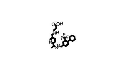 CC(=NOCc1ccc(C2CCCCC2)c(C(F)(F)F)c1)c1ccc(CNCCC(=O)O)cn1